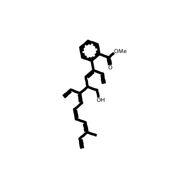 C=C\C(C)=C/C=C\C=C(/C=C)C(/C=C(\C=C)c1ccccc1C(=O)OC)CO